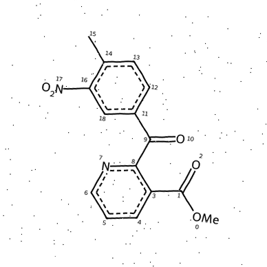 COC(=O)c1cccnc1C(=O)c1ccc(C)c([N+](=O)[O-])c1